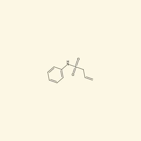 C=CCS(=O)(=O)Nc1ccccc1